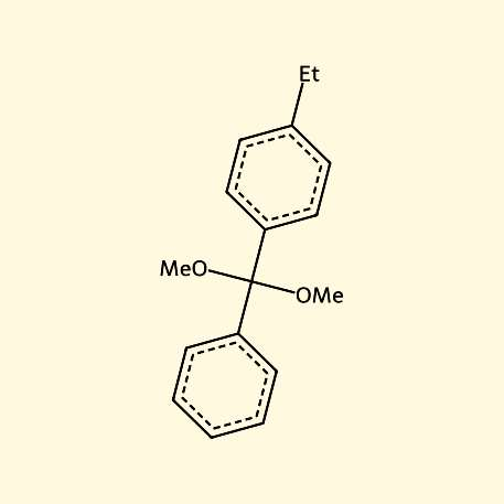 [CH2]Cc1ccc(C(OC)(OC)c2ccccc2)cc1